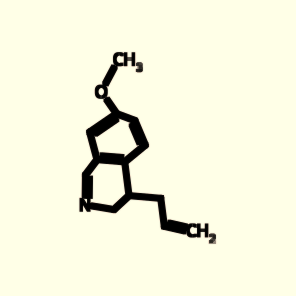 C=CCC1CN=Cc2cc(OC)ccc21